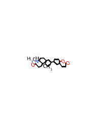 CN1C(=O)CC[C@]2(C)c3ccc(-c4ccc5oc(=O)ccc5c4)cc3CC[C@@H]12